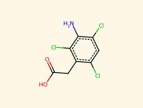 Nc1c(Cl)cc(Cl)c(CC(=O)O)c1Cl